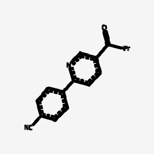 CC(C)C(=O)c1ccc(-c2ccc(C#N)cc2)nc1